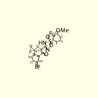 COc1cccc(S(=O)(=O)Nc2noc3c2CC2(CC2)c2ccc(Br)cc2-3)c1F